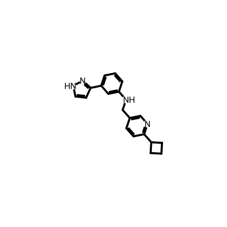 c1cc(NCc2ccc(C3CCC3)nc2)cc(-c2cc[nH]n2)c1